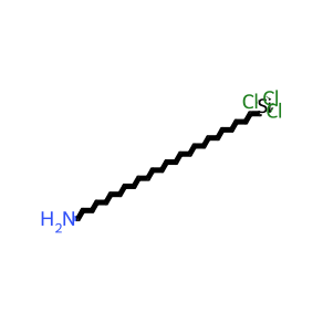 NCCCCCCCCCCCCCCCCCCCCCCCCCCC[Si](Cl)(Cl)Cl